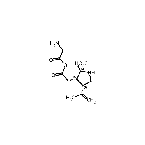 C=C(C)[C@H]1CN[C@H](C(=O)O)[C@H]1CC(=O)OC(=O)CN